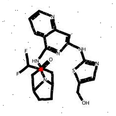 O=C(C(F)F)N1C2CCC1CC(Nc1nc(Nc3ncc(CO)s3)cc3ncccc13)C2